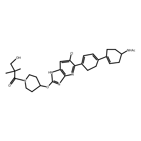 CC(=O)NC1CC=C(C2=CC=C(c3nc4nc(OC5CCN(C(=O)C(C)(C)CO)CC5)[nH]c4cc3Cl)CC2)CC1